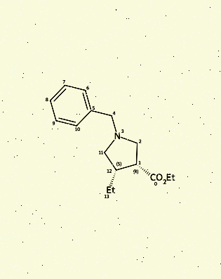 CCOC(=O)[C@H]1CN(Cc2ccccc2)C[C@H]1CC